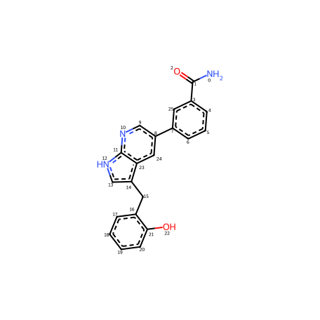 NC(=O)c1cccc(-c2cnc3[nH]cc(Cc4ccccc4O)c3c2)c1